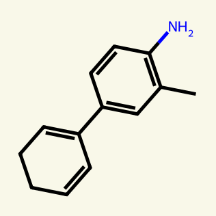 Cc1cc(C2=CCCC=C2)ccc1N